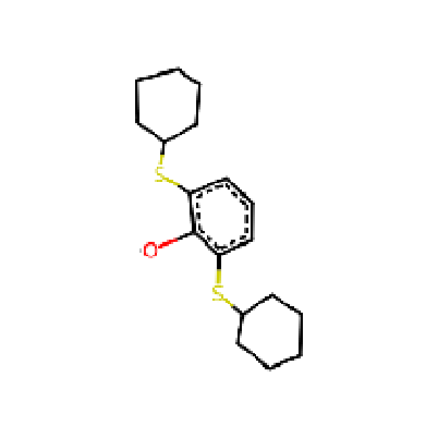 [O]c1c(SC2CCCCC2)cccc1SC1CCCCC1